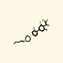 CCCCC[Si@H]1CC[C@H](c2ccc(-c3cc(F)c(C(F)=C(F)F)c(F)c3)c(F)c2)CC1